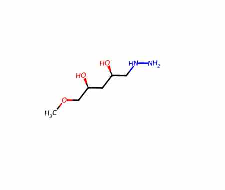 COC[C@@H](O)C[C@@H](O)CNN